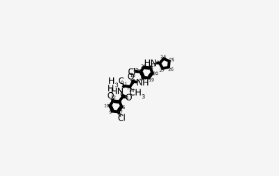 C[C@H](NC(=O)c1cc(Cl)ccc1O)[C@H](C)C(=O)Nc1ccc(NC2CCCC2)cc1Cl